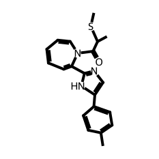 CSC(C)C(=O)N1C=CC=CC=C1c1ncc(-c2ccc(C)cc2)[nH]1